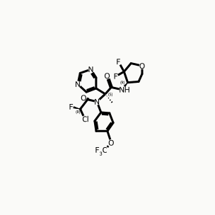 C[C@@](C(=O)N[C@@H]1CCOCC1(F)F)(c1cncnc1)N(C(=O)[C@H](F)Cl)c1ccc(OC(F)(F)F)cc1